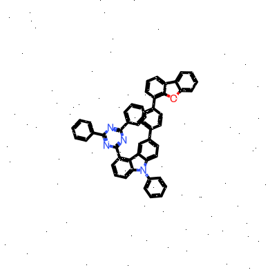 c1ccc(-c2nc(-c3ccccc3)nc(-c3cccc4c3c3cc(-c5ccc(-c6cccc7c6oc6ccccc67)cc5)ccc3n4-c3ccccc3)n2)cc1